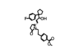 COC(=O)c1ccc(CCN2C(=O)CC[C@@H]2C=CC(O)C2(c3ccc(F)cc3)CCCC2)cc1